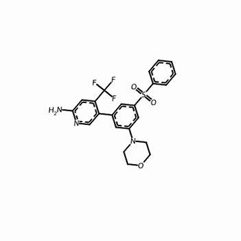 Nc1cc(C(F)(F)F)c(-c2cc(N3CCOCC3)cc(S(=O)(=O)c3ccccc3)c2)cn1